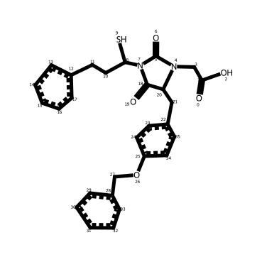 O=C(O)CN1C(=O)N(C(S)CCc2ccccc2)C(=O)C1Cc1ccc(OCc2ccccc2)cc1